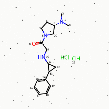 CN(C)[C@H]1CCN(C(=O)CNC2CC2c2ccccc2)C1.Cl.Cl